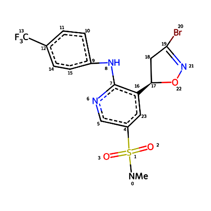 CNS(=O)(=O)c1cnc(Nc2ccc(C(F)(F)F)cc2)c([C@H]2CC(Br)=NO2)c1